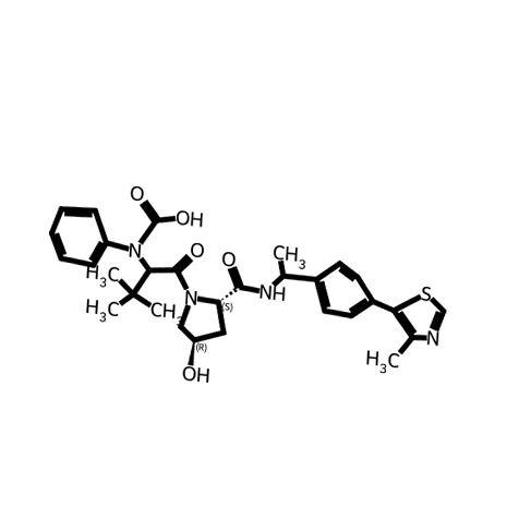 Cc1ncsc1-c1ccc(C(C)NC(=O)[C@@H]2C[C@@H](O)CN2C(=O)C(N(C(=O)O)c2ccccc2)C(C)(C)C)cc1